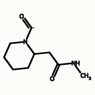 CNC(=O)CC1CCCCN1[C]=O